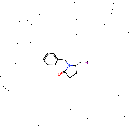 O=C1CC[C@@H](CI)N1Cc1ccccc1